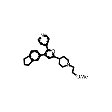 COCCN1CCC(c2cc(-c3ccc4c(c3)CCC4)c(-c3ccncc3)o2)CC1